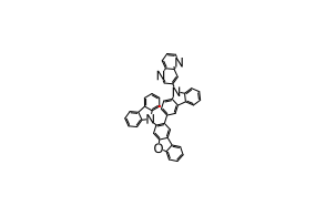 c1cnc2cc(-n3c4ccccc4c4cc(-c5cc6c(cc5-n5c7ccccc7c7ccccc75)oc5ccccc56)ccc43)cnc2c1